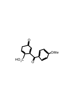 COc1ccc(C(=O)C2=CC(=O)CC=C2C(=O)O)cc1